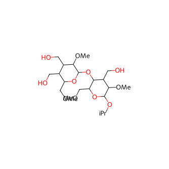 COCC1OC(OC2C(COC)OC(OC(C)C)C(OC)C2CO)C(OC)C(CO)C1CO